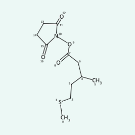 CSCCC(C)CC(=O)ON1C(=O)CCC1=O